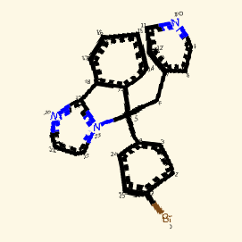 Brc1ccc(C2(Cc3ccncc3)c3ccccc3-c3nccn32)cc1